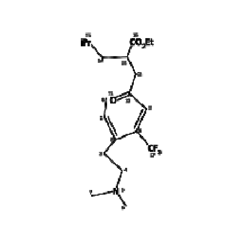 C/C=C(CCN(C)C)\C(=C/C(=O)CC(CC(C)C)C(=O)OCC)C(F)(F)F